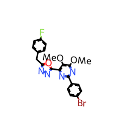 COc1nc(-c2ccc(Br)cc2)nc(-c2nnc(Cc3ccc(F)cc3)o2)c1OC